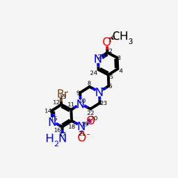 COc1ccc(CN2CCN(c3c(Br)cnc(N)c3[N+](=O)[O-])CC2)cn1